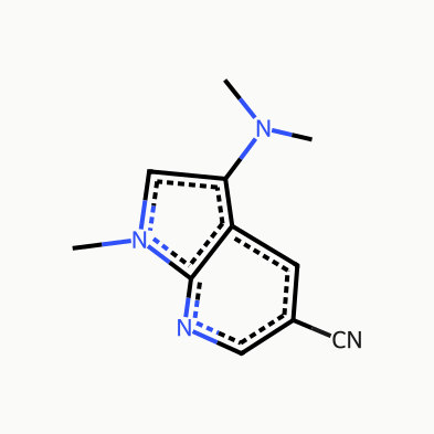 CN(C)c1cn(C)c2ncc(C#N)cc12